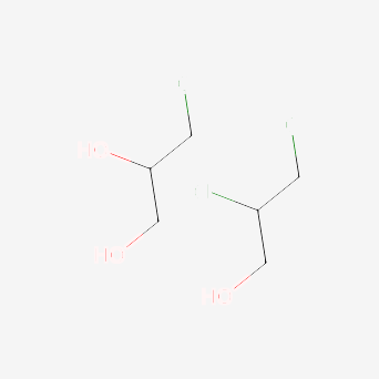 OCC(Cl)CCl.OCC(O)CCl